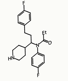 CCC(=O)N(c1ccc(F)cc1)C(CCc1ccc(F)cc1)C1CCNCC1